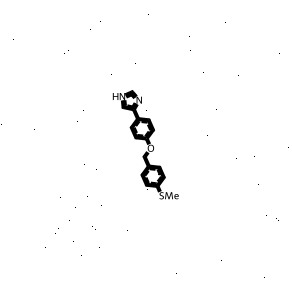 CSc1ccc(COc2ccc(-c3c[nH]cn3)cc2)cc1